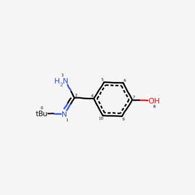 CC(C)(C)N=C(N)c1ccc(O)cc1